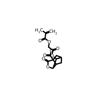 C=C(C)C(=O)OCC(=O)OC1C2CC3C1OC(=O)C3(C(=O)Cl)C2